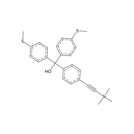 CSc1ccc(C(O)(c2ccc(C#C[Si](C)(C)C)cc2)c2ccc(SC)cc2)cc1